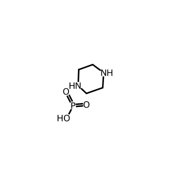 C1CNCCN1.O=P(=O)O